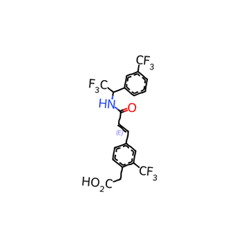 O=C(O)Cc1ccc(/C=C/C(=O)NC(c2cccc(C(F)(F)F)c2)C(F)(F)F)cc1C(F)(F)F